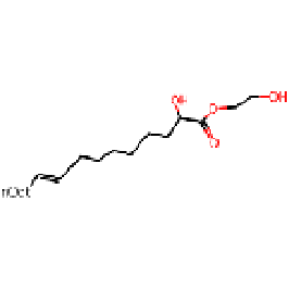 CCCCCCCC/C=C/CCCCCCC(O)C(=O)OCCO